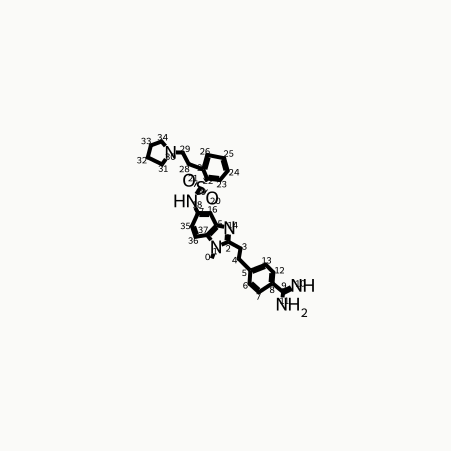 Cn1c(CCc2ccc(C(=N)N)cc2)nc2cc(NS(=O)(=O)c3ccccc3CCN3CCCC3)ccc21